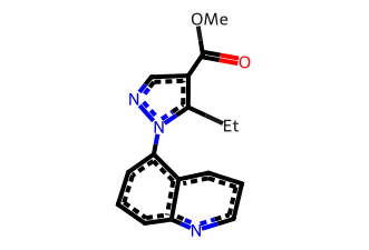 CCc1c(C(=O)OC)cnn1-c1cccc2ncccc12